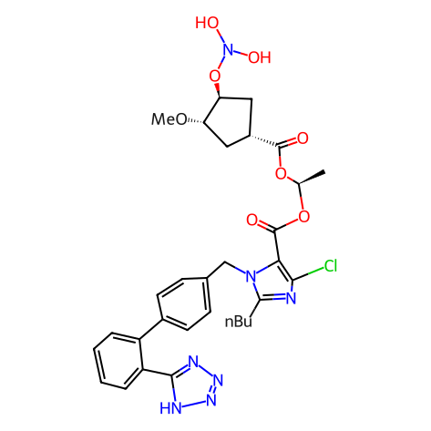 CCCCc1nc(Cl)c(C(=O)O[C@H](C)OC(=O)[C@@H]2C[C@H](OC)[C@@H](ON(O)O)C2)n1Cc1ccc(-c2ccccc2-c2nnn[nH]2)cc1